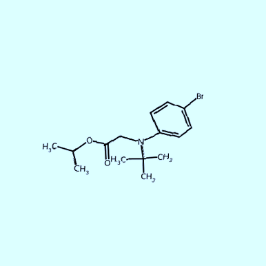 CC(C)OC(=O)CN(c1ccc(Br)cc1)C(C)(C)C